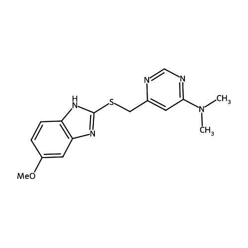 COc1ccc2[nH]c(SCc3cc(N(C)C)ncn3)nc2c1